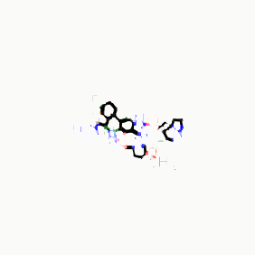 COC1CCC2COc3c(Cl)c(-c4ccc(F)c5sc(N)c(C#N)c45)c(F)c4nc(OCC[C@@]56CCCN5C[C@H](F)C6)nc(c34)N2C1